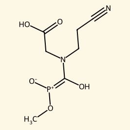 CO/[P+]([O-])=C(\O)N(CCC#N)CC(=O)O